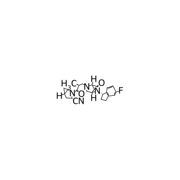 C[C@@H](CN1C[C@@H]2C[C@H]1C(=O)N2[C@H]1CCc2cc(F)ccc21)C(=O)N1C2C[C@H]2C[C@H]1C#N